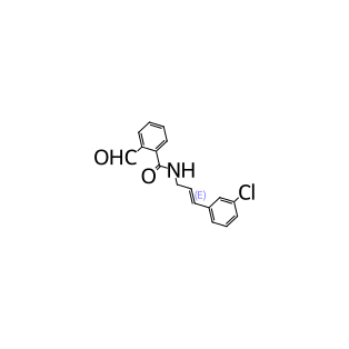 O=Cc1ccccc1C(=O)NC/C=C/c1cccc(Cl)c1